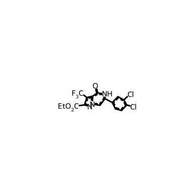 CCOC(=O)c1nn2cc(-c3ccc(Cl)c(Cl)c3)[nH]c(=O)c2c1C(F)(F)F